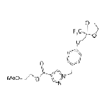 COCCOC(=O)c1cnn(Cc2ccc(OCC3(C(F)(F)F)OCCO3)cc2)c1